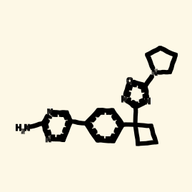 Nc1ncc(-c2ccc(C3(c4noc(N5CCCC5)n4)CCC3)cc2)cn1